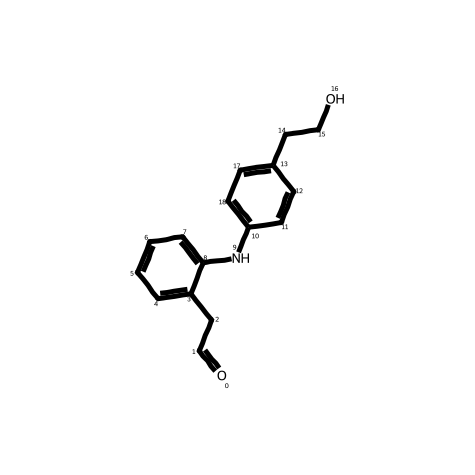 O=CCc1ccccc1Nc1ccc(CCO)cc1